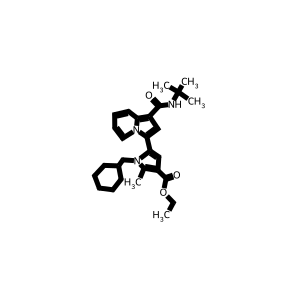 CCOC(=O)c1cc(-c2cc(C(=O)NC(C)(C)C)c3ccccn23)n(CC2CCCCC2)c1C